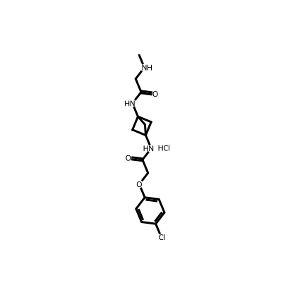 CNCC(=O)NC12CC(NC(=O)COc3ccc(Cl)cc3)(C1)C2.Cl